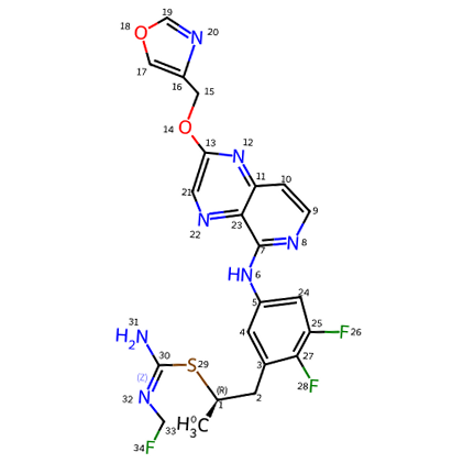 C[C@H](Cc1cc(Nc2nccc3nc(OCc4cocn4)cnc23)cc(F)c1F)S/C(N)=N\CF